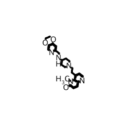 Cn1c(=O)ccc2nccc(CCN3CCC(NCc4cc5c(cn4)OCCO5)CC3)c21